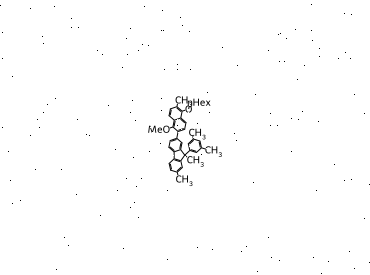 CCCCCCOc1c(C)ccc2c(OC)c(-c3ccc4c(c3)C(C)(c3cc(C)cc(C)c3)c3cc(C)ccc3-4)ccc12